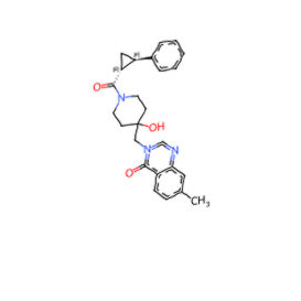 Cc1ccc2c(=O)n(CC3(O)CCN(C(=O)[C@@H]4C[C@H]4c4ccccc4)CC3)cnc2c1